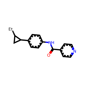 CCC1CC1c1ccc(NC(=O)c2ccncc2)cc1